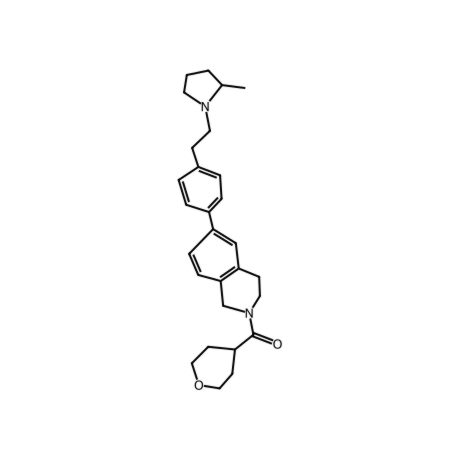 CC1CCCN1CCc1ccc(-c2ccc3c(c2)CCN(C(=O)C2CCOCC2)C3)cc1